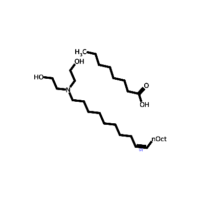 CCCCCCCC(=O)O.CCCCCCCC/C=C\CCCCCCCCN(CCO)CCO